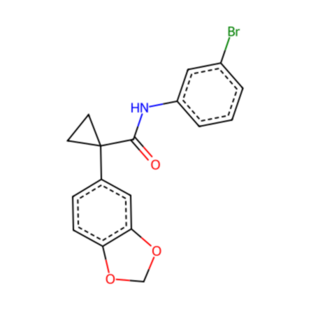 O=C(Nc1cccc(Br)c1)C1(c2ccc3c(c2)OCO3)CC1